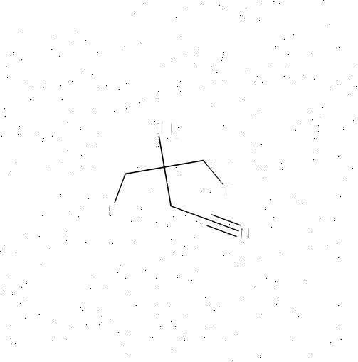 [CH2]C(CF)(CF)CC#N